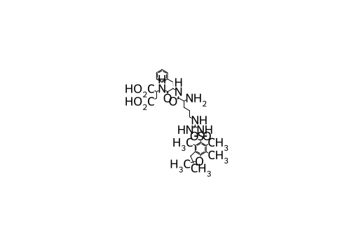 Cc1c(C)c(S(=O)(=O)NC(=N)NCCC[C@H](N)C(=O)N[C@@H](Cc2ccccc2)C(=O)N[C@@H](CC(=O)O)C(=O)O)c(C)c2c1OC(C)(C)C2